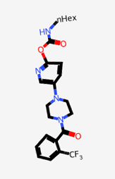 CCCCCCNC(=O)Oc1ccc(N2CCN(C(=O)c3ccccc3C(F)(F)F)CC2)cn1